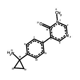 Cn1cncc(-c2ccc(C3(N)CC3)cc2)c1=O